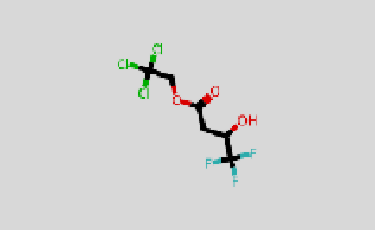 O=C(CC(O)C(F)(F)F)OCC(Cl)(Cl)Cl